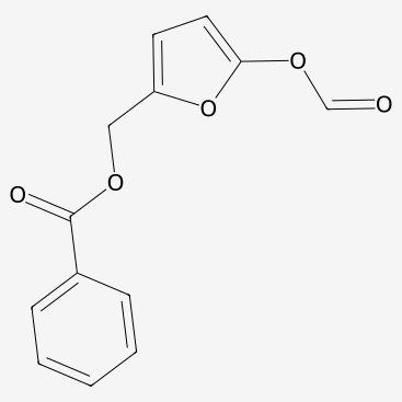 O=COc1ccc(COC(=O)c2ccccc2)o1